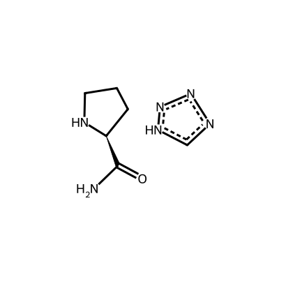 NC(=O)[C@@H]1CCCN1.c1nnn[nH]1